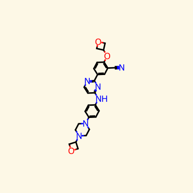 N#Cc1cc(-c2nccc(Nc3ccc(N4CCN(C5COC5)CC4)cc3)n2)ccc1OC1COC1